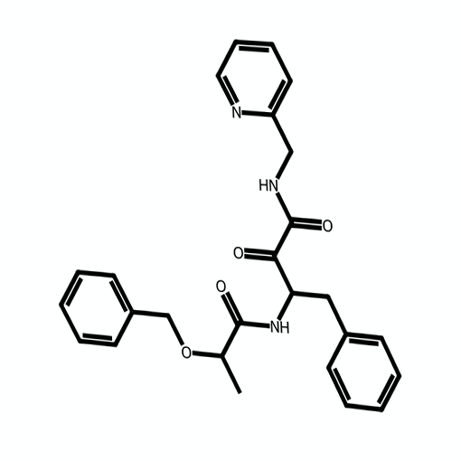 CC(OCc1ccccc1)C(=O)NC(Cc1ccccc1)C(=O)C(=O)NCc1ccccn1